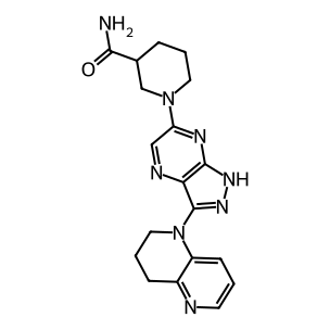 NC(=O)C1CCCN(c2cnc3c(N4CCCc5ncccc54)n[nH]c3n2)C1